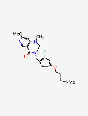 CNCCCOc1ccc(CN2CCN(C)c3cc(OC)ncc3C2=O)c(F)c1